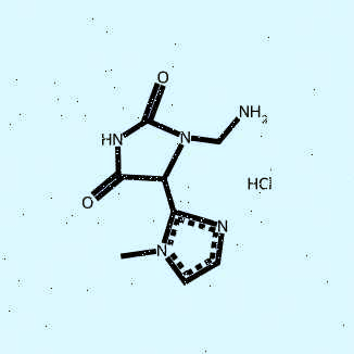 Cl.Cn1ccnc1C1C(=O)NC(=O)N1CN